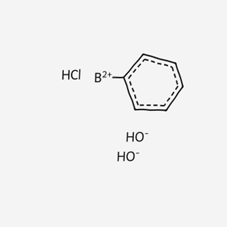 Cl.[B+2]c1ccccc1.[OH-].[OH-]